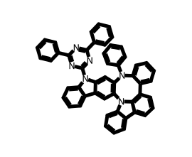 c1ccc(-c2nc(-c3ccccc3)nc(-n3c4ccccc4c4cc5c(cc43)n(-c3ccccc3)c3ccccc3c3cccc4c6ccccc6n5c34)n2)cc1